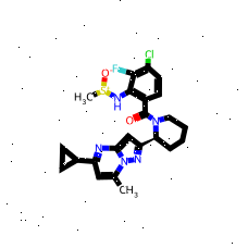 Cc1cc(C2CC2)nc2cc([C@@H]3CCCCN3C(=O)c3ccc(Cl)c(F)c3N[S+](C)[O-])nn12